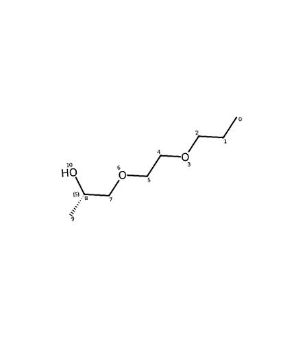 CCCOCCOC[C@H](C)O